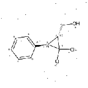 OC[C@H]1[C@H](c2ccccc2)C1(Cl)Cl